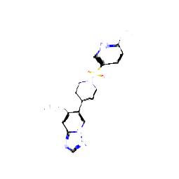 Cc1ccc(S(=O)(=O)N2CCC(c3cn4ncnc4cc3C)CC2)cn1